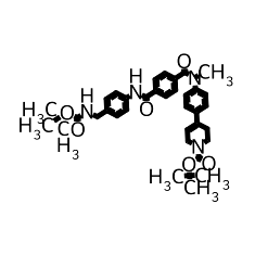 CN(C(=O)c1ccc(C(=O)Nc2ccc(CNC(=O)OC(C)(C)C)cc2)cc1)c1ccc(C2=CCN(C(=O)OC(C)(C)C)CC2)cc1